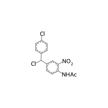 CC(=O)Nc1ccc(C(Cl)c2ccc(Cl)cc2)cc1[N+](=O)[O-]